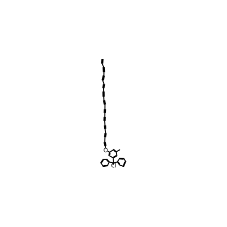 C#CC#CC#CC#CC#CC#CC#CC#CC#CC#CC#COc1cc(C)cc(C(Cl)(c2ccccc2)c2ccccc2)c1